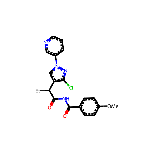 CCC(C(=O)NC(=O)c1ccc(OC)cc1)c1cn(-c2cccnc2)nc1Cl